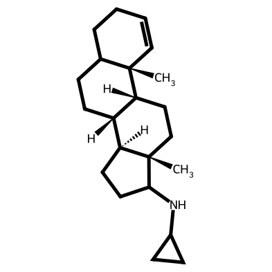 C[C@]12C=CCCC1CC[C@@H]1[C@H]2CC[C@]2(C)C(NC3CC3)CC[C@@H]12